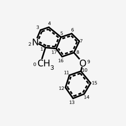 Cc1nccc2ccc(Oc3ccccc3)cc12